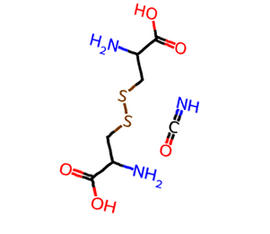 N=C=O.NC(CSSCC(N)C(=O)O)C(=O)O